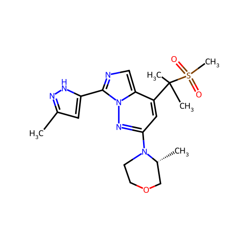 Cc1cc(-c2ncc3c(C(C)(C)S(C)(=O)=O)cc(N4CCOC[C@H]4C)nn23)[nH]n1